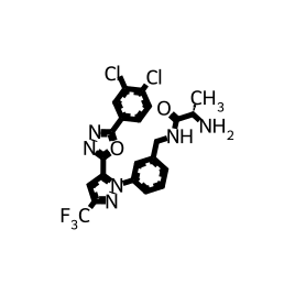 C[C@H](N)C(=O)NCc1cccc(-n2nc(C(F)(F)F)cc2-c2nnc(-c3ccc(Cl)c(Cl)c3)o2)c1